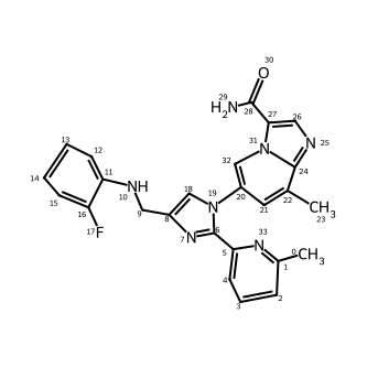 Cc1cccc(-c2nc(CNc3ccccc3F)cn2-c2cc(C)c3ncc(C(N)=O)n3c2)n1